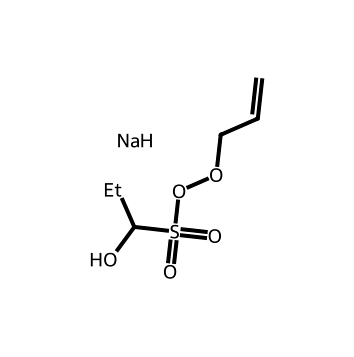 C=CCOOS(=O)(=O)C(O)CC.[NaH]